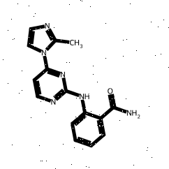 Cc1nccn1-c1ccnc(Nc2ccccc2C(N)=O)n1